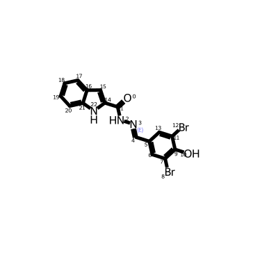 O=C(N/N=C/c1cc(Br)c(O)c(Br)c1)c1cc2ccccc2[nH]1